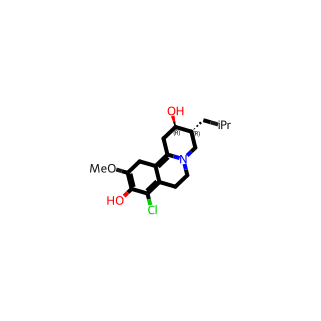 COC1=C(O)C(Cl)=C2CCN3C[C@@H](CC(C)C)[C@H](O)CC3=C2C1